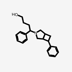 OCCCC(c1ccccc1)N1CC2CC(c3ccccc3)C2C1